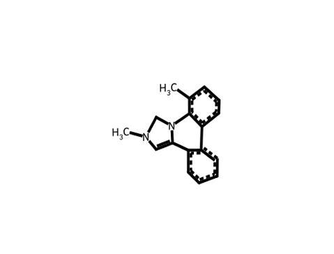 Cc1cccc2c1N1CN(C)C=C1c1ccccc1-2